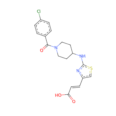 O=C(O)C=Cc1csc(NC2CCN(C(=O)c3ccc(Cl)cc3)CC2)n1